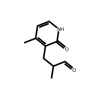 Cc1cc[nH]c(=O)c1CC(C)C=O